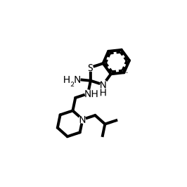 CC(C)CN1CCCCC1CNC1(N)Nc2[c]cccc2S1